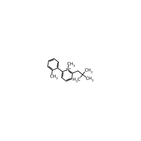 Cc1ccccc1-c1cccc(CC(C)(C)C)[n+]1C